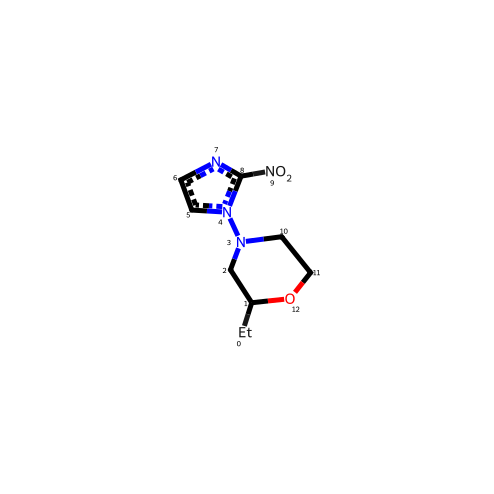 CCC1CN(n2ccnc2[N+](=O)[O-])CCO1